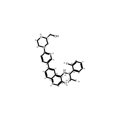 OC[C@H]1CN(c2ccc(-c3ccc4ncc(Cl)c(N[C@@H](c5ccccc5F)C(F)F)c4c3)cn2)CCO1